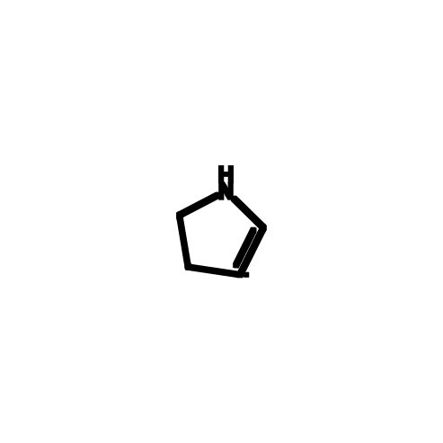 [C]1=CNCC1